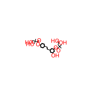 CC(CO)(CO)C(=O)Oc1ccc(/C=C/c2cc(O)cc(OC(=O)C(C)(CO)CCO)c2)cc1